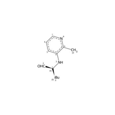 CC[C@H](C)[C@@H](C=O)Nc1cccnc1C